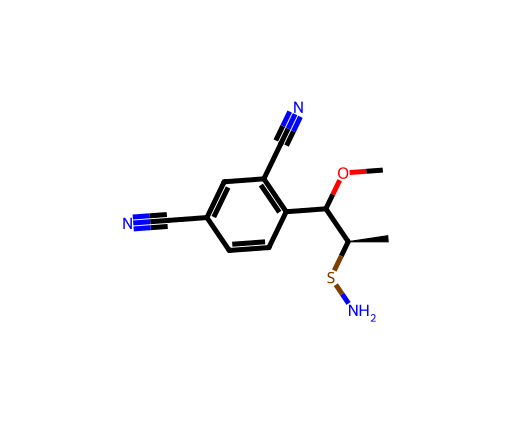 COC(c1ccc(C#N)cc1C#N)[C@@H](C)SN